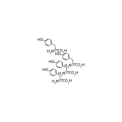 N[C@@H](Cc1ccc(O)cc1)C(=O)O.N[C@@H](Cc1ccc(O)cc1)C(=O)O.N[C@@H](Cc1ccc(O)cc1)C(=O)O.N[C@@H](Cc1ccc(O)cc1)C(=O)O